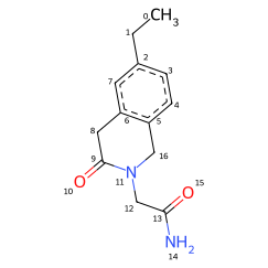 CCc1ccc2c(c1)CC(=O)N(CC(N)=O)C2